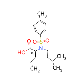 C=CC[C@@H](C(=O)O)N(CCC(C)C)S(=O)(=O)c1ccc(C)cc1